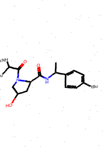 CC(=O)NC(C(=O)N1CC(O)CC1C(=O)NC(C)c1ccc(C(C)(C)C)cc1)C(C)(C)C